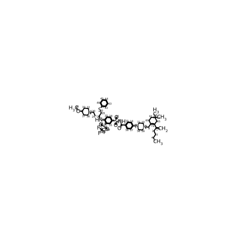 C=C(CCCC)C1=C(CN2CCN(c3ccc(C(=O)NS(=O)(=O)c4ccc(N[C@H](CCN5CCC(OC)CC5)CSc5ccccc5)c(S(=O)(=O)C(F)(F)F)c4)cc3)CC2)CCC(C)(C)C1